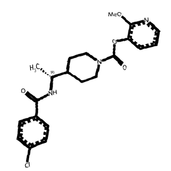 COc1ncccc1OC(=O)N1CCC([C@@H](C)NC(=O)c2ccc(Cl)cc2)CC1